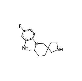 Nc1cc(F)ccc1N1CCCC2(CCNC2)C1